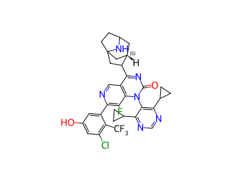 O=c1nc(C2CC34CCC(C[C@H]2C3)N4)c2cnc(-c3cc(O)cc(Cl)c3C(F)(F)F)c(F)c2n1-c1c(C2CC2)ncnc1C1CC1